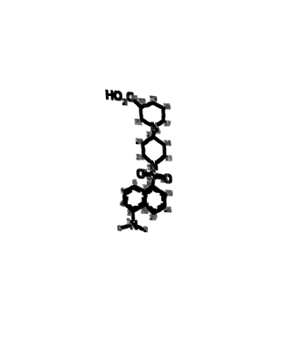 CN(C)c1cccc2c(S(=O)(=O)N3CCC(N4CCCC(C(=O)O)C4)CC3)cccc12